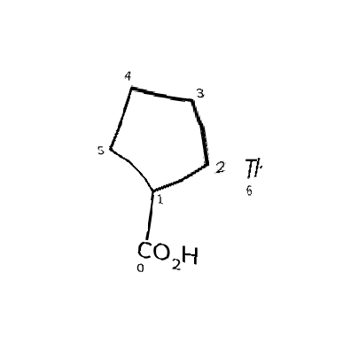 O=C(O)C1CCCC1.[Tl]